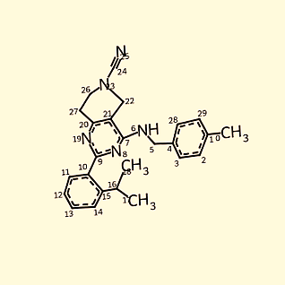 Cc1ccc(CNc2nc(-c3ccccc3C(C)C)nc3c2CN(C#N)CC3)cc1